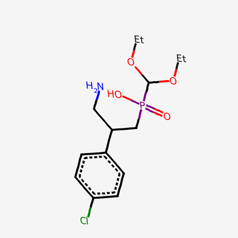 CCOC(OCC)P(=O)(O)CC(CN)c1ccc(Cl)cc1